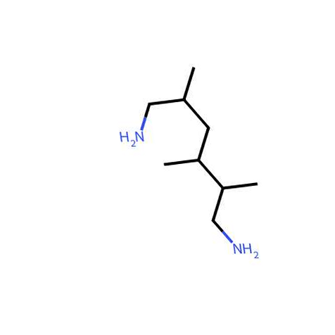 CC(CN)CC(C)C(C)CN